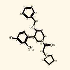 Cc1cc(F)ccc1C1CN(C(=O)CN2CCCC2)CCC1OCc1ccccc1